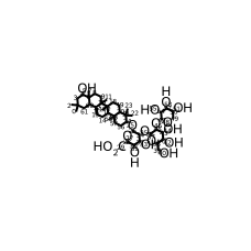 CC1(C)CC(O)C2(C)CCC3(C)C(=CCC4C3(C)CCC3C(C)(C)C(OC5OC(C(=O)O)C(O)C(O)C5OC5OC(CO)C(O)C(O)C5OC5OCC(O)C(O)C5O)CC[C@@]34C)C2C1